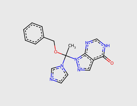 CC(OCc1ccccc1)(n1ccnc1)n1ncc2c(=O)[nH]cnc21